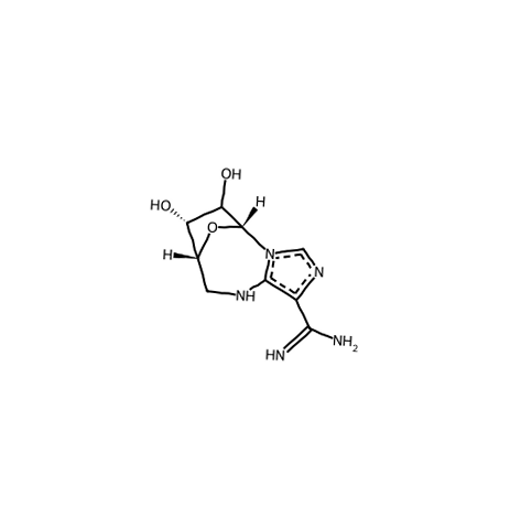 N=C(N)c1ncn2c1NC[C@H]1O[C@@H]2C(O)[C@H]1O